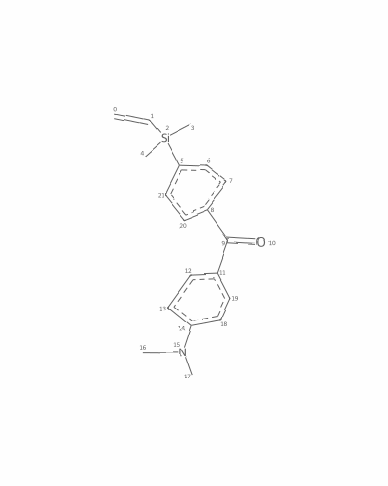 C=C[Si](C)(C)c1ccc(C(=O)c2ccc(N(C)C)cc2)cc1